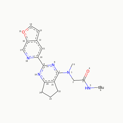 CN(CC(=O)NC(C)(C)C)c1nc(-c2cc3ccoc3cn2)nc2c1CCC2